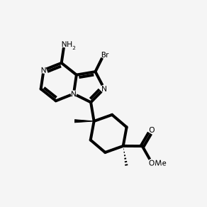 COC(=O)[C@]1(C)CC[C@@](C)(c2nc(Br)c3c(N)nccn32)CC1